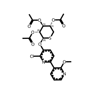 COc1ncccc1-c1ccc(O[C@@H]2SC[C@@H](OC(C)=O)[C@H](OC(C)=O)[C@H]2OC(C)=O)c(Cl)n1